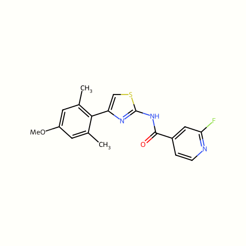 COc1cc(C)c(-c2csc(NC(=O)c3ccnc(F)c3)n2)c(C)c1